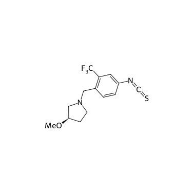 CO[C@@H]1CCN(Cc2ccc(N=C=S)cc2C(F)(F)F)C1